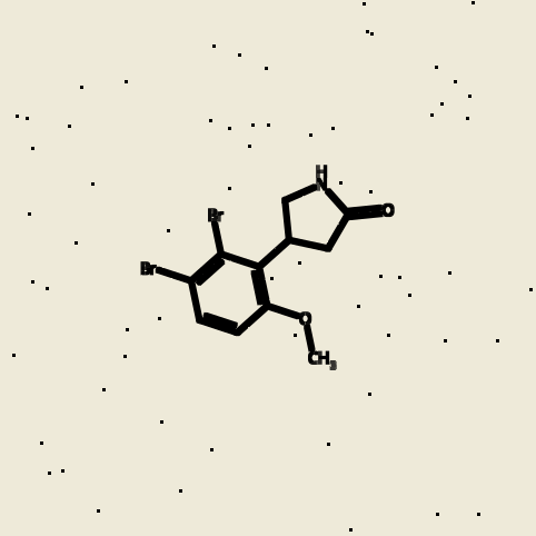 COc1ccc(Br)c(Br)c1C1CNC(=O)C1